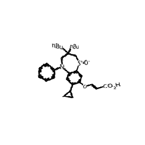 CCCCC1(CCCC)CN(c2ccccc2)c2cc(C3CC3)c(O/C=C/C(=O)O)cc2[S+]([O-])C1